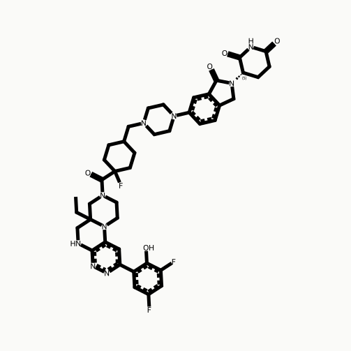 CCC12CNc3nnc(-c4cc(F)cc(F)c4O)cc3N1CCN(C(=O)C1(F)CCC(CN3CCN(c4ccc5c(c4)C(=O)N([C@H]4CCC(=O)NC4=O)C5)CC3)CC1)C2